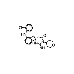 N=C1N[C@]2(CC(=O)N1C1CCOCC1)Cc1c(Nc3ccccc3Cl)cccc12